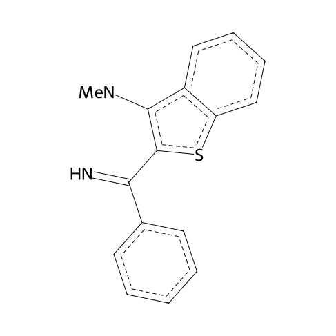 CNc1c(C(=N)c2ccccc2)sc2ccccc12